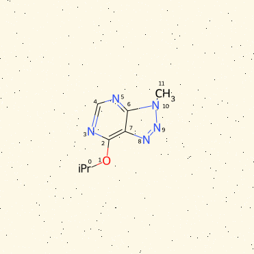 CC(C)Oc1ncnc2c1nnn2C